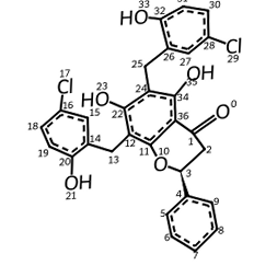 O=C1C[C@@H](c2ccccc2)Oc2c(Cc3cc(Cl)ccc3O)c(O)c(Cc3cc(Cl)ccc3O)c(O)c21